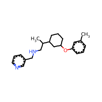 Cc1cccc(OC2CCCC(C(C)CNCc3cccnc3)C2)c1